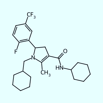 CC1=C(C(=O)NC2CCCCC2)CC(c2cc(C(F)(F)F)ccc2F)N1CC1CCCCC1